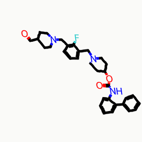 O=CC1CCN(Cc2cccc(CN3CCC(OC(=O)Nc4ccccc4-c4ccccc4)CC3)c2F)CC1